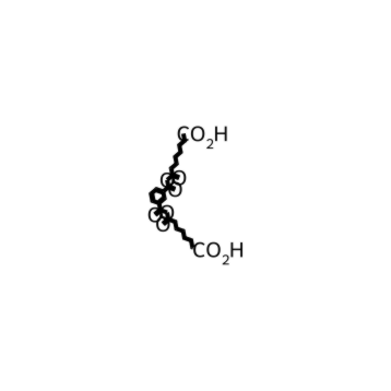 O=C(O)CCCCCCC(=O)OC(=O)c1cccc(C(=O)OC(=O)CCCCCCC(=O)O)c1